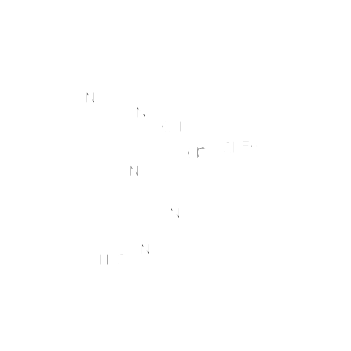 Cn1ccnc1-c1cccc(-c2nccn2C)n1.[Cl-].[Cl-].[Cl-].[Fe+3]